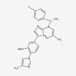 COc1cc(-c2nnc3n([C@@H](C)c4ccc(F)cc4)cc(C)cc2-3)ccc1-n1cnc(C)c1